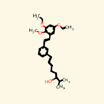 CCOc1cc(C=Cc2cccc(C=CCCCC(O)C(C)C)c2)c(OC)c(OCC)c1